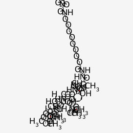 CCN(C(C)=O)[C@H]1CO[C@@H](O[C@H]2[C@H](O[C@H]3C#CC=CC#C[C@]4(O)CC(=O)C(NC(=O)OC)=C3C4=CCSSC(C)(C)CCC(=O)NCCNC(=O)CCOCCOCCOCCOCCOCCOCCOCCOCCNC(=O)CCN3C(=O)C=CC3=O)O[C@H](C)[C@@H](NO[C@H]3C[C@H](O)[C@H](SC(=O)c4c(C)c(I)c(O[C@@H]5O[C@@H](C)[C@H](O)[C@@H](OC)[C@H]5O)c(OC)c4OC)[C@@H](C)O3)[C@@H]2O)C[C@@H]1OC